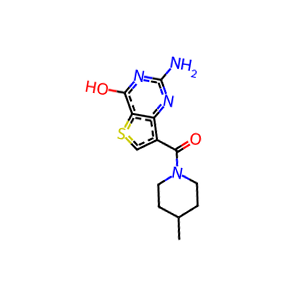 CC1CCN(C(=O)c2csc3c(O)nc(N)nc23)CC1